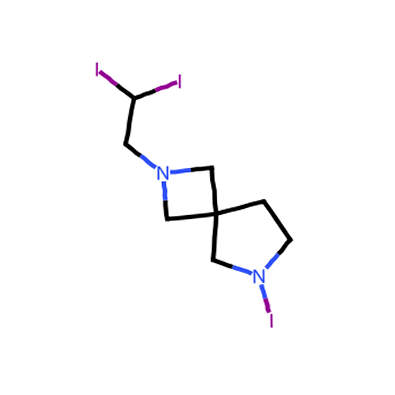 IC(I)CN1CC2(CCN(I)C2)C1